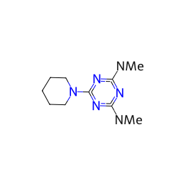 CNc1nc(NC)nc(N2CCCCC2)n1